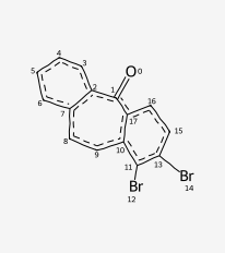 O=c1c2ccccc2ccc2c(Br)c(Br)ccc12